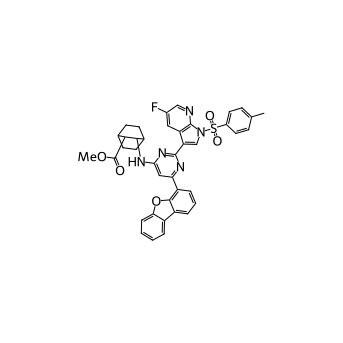 COC(=O)C1C2CCC(CC2)C1Nc1cc(-c2cccc3c2oc2ccccc23)nc(-c2cn(S(=O)(=O)c3ccc(C)cc3)c3ncc(F)cc23)n1